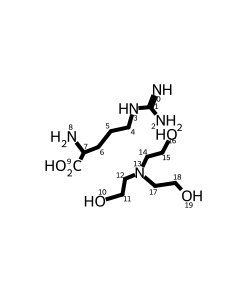 N=C(N)NCCCC(N)C(=O)O.OCCN(CCO)CCO